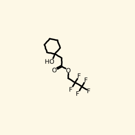 O=C(CC1(O)CCCCC1)OCC(F)(F)C(F)(F)F